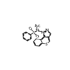 CC(=O)N(n1ncc2c1=C1CC=CC=C1SC=2)S(=O)(=O)c1ccccc1